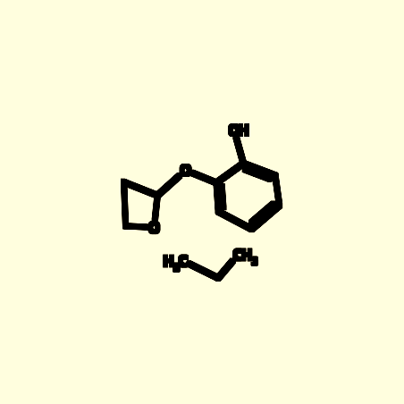 CCC.Oc1ccccc1OC1CCO1